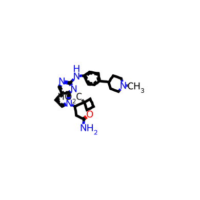 CN1CCC(c2ccc(Nc3ncc4ccn(C(CC(N)=O)C5(C(=O)O)CCC5)c4n3)cc2)CC1